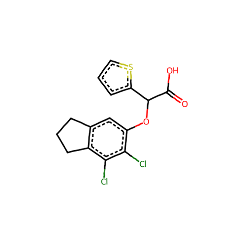 O=C(O)C(Oc1cc2c(c(Cl)c1Cl)CCC2)c1cccs1